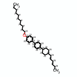 CCCCCCCCCCCOc1ccc(-c2ccc(C3CCC(CCCCCC)CC3)cc2)cc1